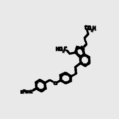 CCCCCc1ccc(COc2ccc(/C=C/c3cccc4c3c(CC(=O)O)cn4CCCC(=O)O)cc2)cc1